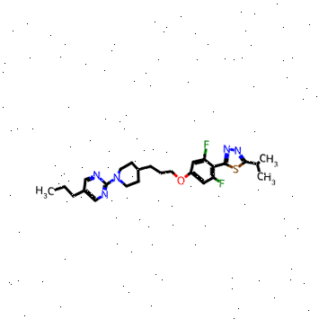 CCCc1cnc(N2CCC(CCCOc3cc(F)c(-c4nnc(C(C)C)s4)c(F)c3)CC2)nc1